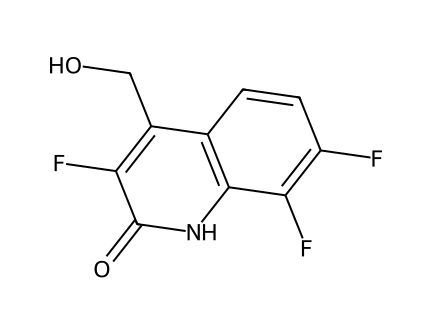 O=c1[nH]c2c(F)c(F)ccc2c(CO)c1F